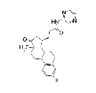 C[C@]12CCC3c4ccc(F)cc4CCC3C1[C@H](CCC(=O)Nc1cnccn1)CC2=O